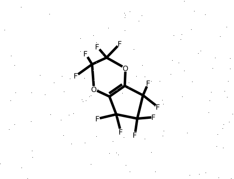 FC1(F)OC2=C(OC1(F)F)C(F)(F)C(F)(F)C2(F)F